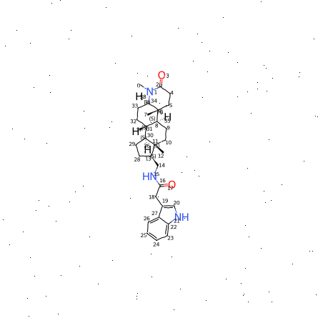 CN1C(=O)CC[C@]2(C)[C@H]3CC[C@]4(C)[C@@H](CNC(=O)Cc5c[nH]c6ccccc56)CC[C@H]4[C@@H]3CC[C@@H]12